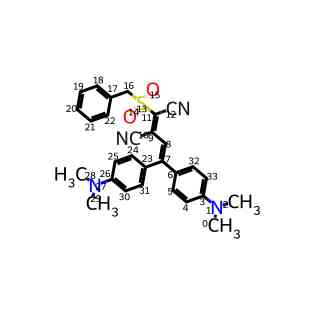 CN(C)c1ccc(C(=CC(C#N)=C(C#N)S(=O)(=O)Cc2ccccc2)c2ccc(N(C)C)cc2)cc1